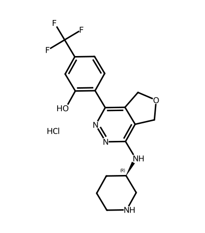 Cl.Oc1cc(C(F)(F)F)ccc1-c1nnc(N[C@@H]2CCCNC2)c2c1COC2